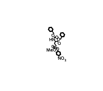 COP(=O)(CCC(NC(=O)OCc1ccccc1)C(=O)OCc1ccccc1)Oc1ccc([N+](=O)[O-])cc1